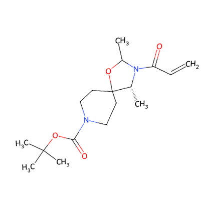 C=CC(=O)N1C(C)OC2(CCN(C(=O)OC(C)(C)C)CC2)[C@H]1C